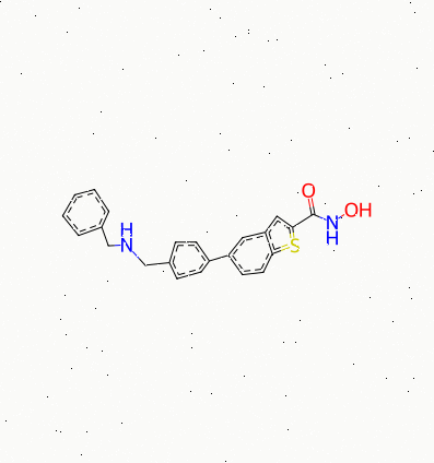 O=C(NO)c1cc2cc(-c3ccc(CNCc4ccccc4)cc3)ccc2s1